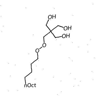 CCCCCCCCCCCCOOCC(CO)(CO)CO